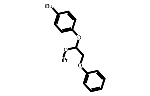 CCC(C)c1ccc(OC(COc2ccccc2)OC(C)C)cc1